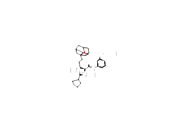 O=C(O)c1cccc(NC(=O)c2nc(C3CCCC3)[nH]c2CCC23CC4CC(CC(C4)C2)C3)c1